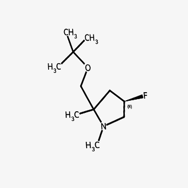 CN1C[C@H](F)CC1(C)COC(C)(C)C